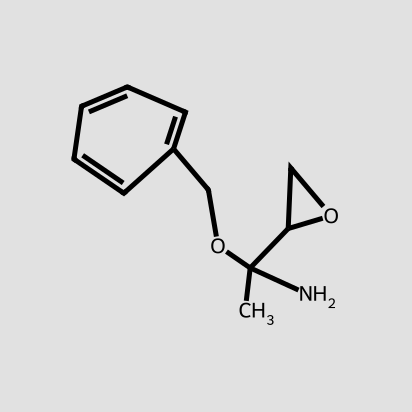 CC(N)(OCc1ccccc1)C1CO1